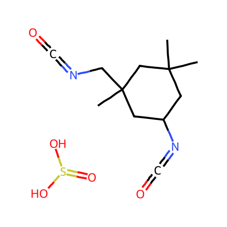 CC1(C)CC(N=C=O)CC(C)(CN=C=O)C1.O=S(O)O